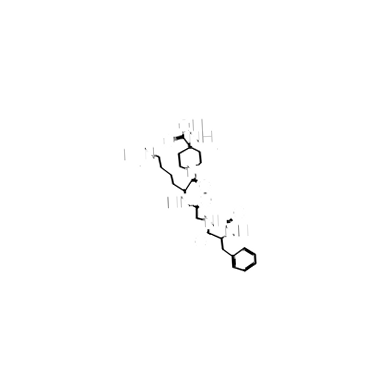 NCCCCC(NC(=O)CNC(=O)C(Cc1ccccc1)NC=O)C(=O)N1CCC(N)(C(=O)O)CC1